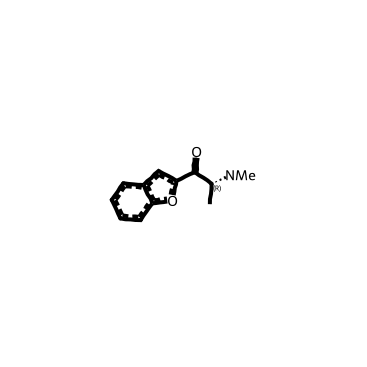 CN[C@H](C)C(=O)c1cc2ccccc2o1